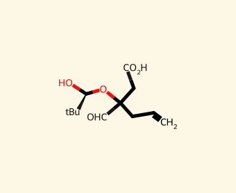 C=CCC(C=O)(CC(=O)O)O[C@H](O)C(C)(C)C